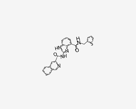 O=C(Nc1nc2c(C(=O)NCc3cccs3)cccc2[nH]1)c1cc2ccccc2cn1